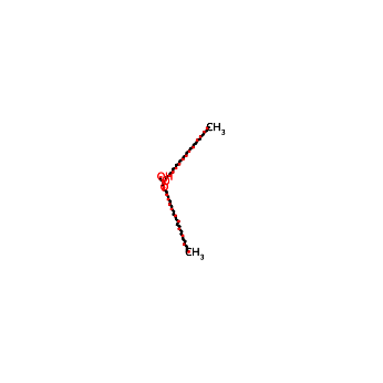 CCCCCCCCCCCCCCCCCCCCCCCCCCOC[C@H](CO)OCCCCCCCCCCCCCCCCCCCCCCCCCC